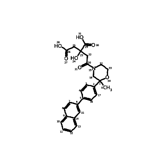 CC1(c2ccc(-c3ccc4ccccc4c3)cc2)CN(C(=O)CC(O)(CC(=O)O)C(=O)O)CCO1